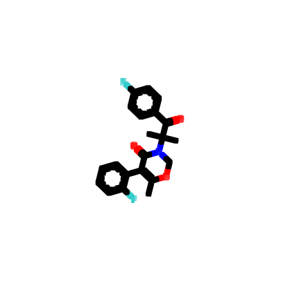 CC1=C(c2ccccc2F)C(=O)N(C(C)(C)C(=O)c2ccc(F)cc2)CO1